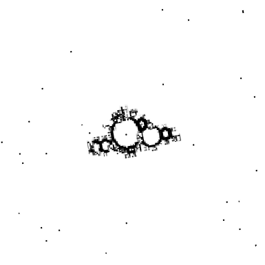 C[C@@H]1CCC[C@](O)(CN2CCc3cncnc3C2)[C@@H]2CC[C@H]2CN2CCCCc3cc(Cl)ccc3COc3ccc(cc32)C(=O)NS(=O)(=O)[C@@H]1C